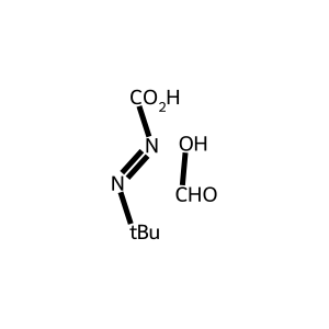 CC(C)(C)N=NC(=O)O.O=CO